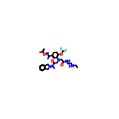 C=C(C)O/N=C(\C)C1=CC(N(CC(=O)NCCNCC)CC(=O)N(C)N2Cc3ccccc3C2)=C(OC(F)F)CC1